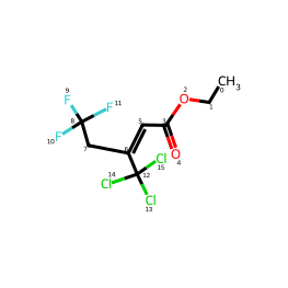 CCOC(=O)C=C(CC(F)(F)F)C(Cl)(Cl)Cl